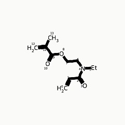 C=CC(=O)N(CC)CCOC(=O)C(=C)C